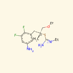 CC/N=C(/N)S[C@@](C)(COCC)Cc1cc(N)cc(F)c1F